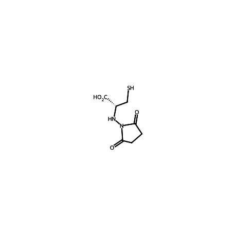 O=C(O)[C@H](CS)NN1C(=O)CCC1=O